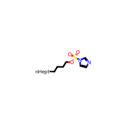 CCCCCCCCCCCOS(=O)(=O)n1ccnc1